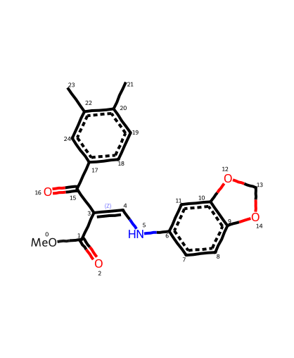 COC(=O)/C(=C\Nc1ccc2c(c1)OCO2)C(=O)c1ccc(C)c(C)c1